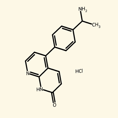 CC(N)c1ccc(-c2ccnc3[nH]c(=O)ccc23)cc1.Cl